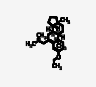 CCOC1=CC2=C(CN(C)C)C[C@H]3[C@@H]4CCC[C@@]4(C)CC[C@@H]3[C@@]2(C)CC1